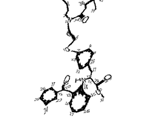 CCCN(CCOc1ccc(C[C@H](Nc2ccccc2C(=O)c2ccccc2)C(=O)OC)cc1)C(=O)CC(C)(C)C